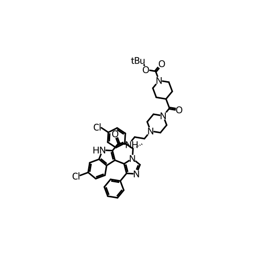 C[C@@H](c1ccc(Cl)cc1)n1cnc(-c2ccccc2)c1-c1c(C(=O)NCCN2CCN(C(=O)C3CCN(C(=O)OC(C)(C)C)CC3)CC2)[nH]c2cc(Cl)ccc12